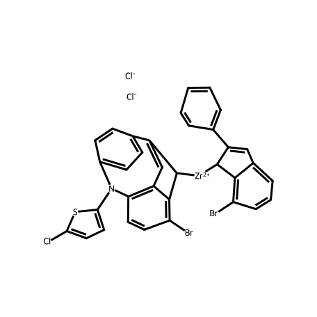 Clc1ccc(-n2c3ccc(cc3)c3cc4c(c(Br)ccc42)[CH]3[Zr+2][CH]2C(c3ccccc3)=Cc3cccc(Br)c32)s1.[Cl-].[Cl-]